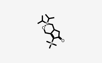 CC(C)[Si]1(C(C)C)CC2CC(=O)C([Si](C)(C)C)=C2CO1